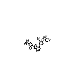 COc1cc(C(=O)N(C)C)ccc1-c1cc2nccc(-c3ccc(OC4CCN(C)CC4(F)F)c(C#N)c3)c2o1